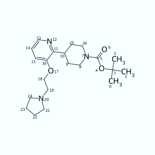 CC(C)(C)OC(=O)N1CCC(c2ncccc2OCCN2CCCC2)CC1